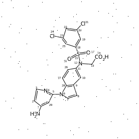 Nc1ccnc(-n2ccc3cc(N(CC(=O)O)S(=O)(=O)c4cc(Cl)cc(Cl)c4)ccc32)c1